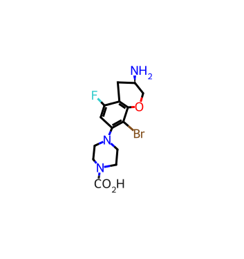 N[C@H]1COc2c(Br)c(N3CCN(C(=O)O)CC3)cc(F)c2C1